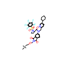 C[Si](C)(C)CCOCN1C(=O)c2ccc(N(Cc3ccc(C4CCCCC4)cn3)C(=O)C3CCN3S(=O)(=O)c3c(F)c(F)c(F)c(F)c3F)cc2C1=O